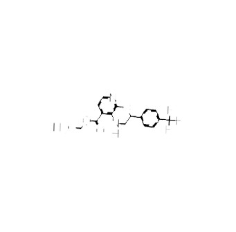 CCOC(=O)c1ccnc2c1NCC(c1ccc(C(F)(F)F)cc1)O2